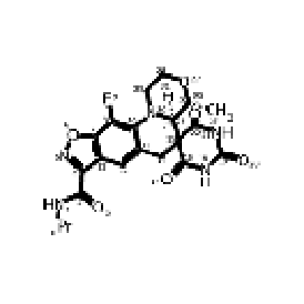 CC(C)NC(=O)c1noc2c(F)c3c(cc12)CC1(C(=O)NC(=O)NC1=O)[C@@H]1[C@@H](C)OCCN31